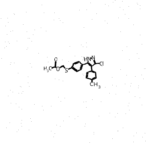 CC(=O)OCSc1ccc(-c2[nH]nc(Cl)c2-c2ccc(C)cc2)cc1